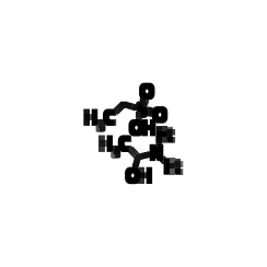 CCN(CC)C(C)O.CCS(=O)(=O)O